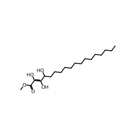 CCCCCCCCCCCCCCC(O)C(O)=C(O)C(=O)OC